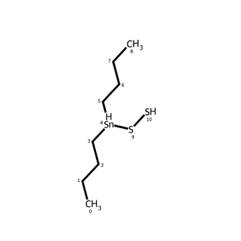 CCC[CH2][SnH]([CH2]CCC)[S]S